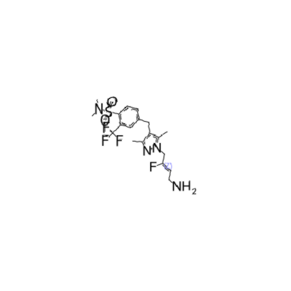 Cc1nn(C/C(F)=C/CN)c(C)c1Cc1ccc(S(=O)(=O)N(C)C)c(C(F)(F)F)c1